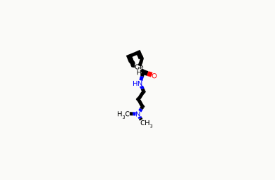 CN(C)CCCN[C](=O)[GeH]1[CH]=CC=[CH]1